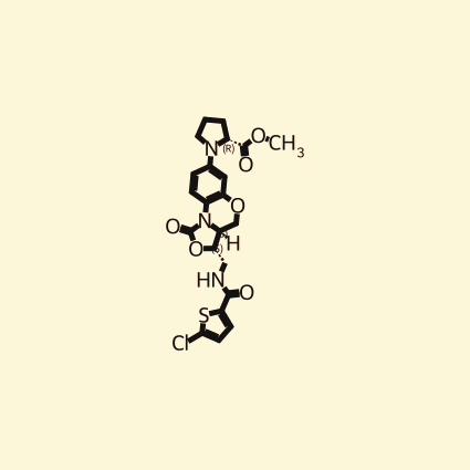 COC(=O)[C@H]1CCCN1c1ccc2c(c1)OC[C@H]1[C@H](CNC(=O)c3ccc(Cl)s3)OC(=O)N21